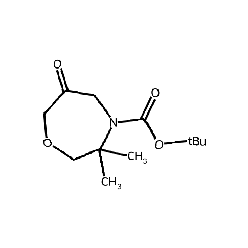 CC(C)(C)OC(=O)N1CC(=O)COCC1(C)C